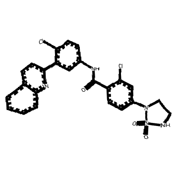 O=C(Nc1ccc(Cl)c(-c2ccc3ccccc3n2)c1)c1ccc(N2CCNS2(=O)=O)cc1Cl